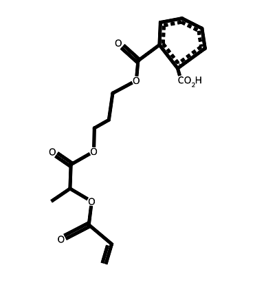 C=CC(=O)OC(C)C(=O)OCCCOC(=O)c1ccccc1C(=O)O